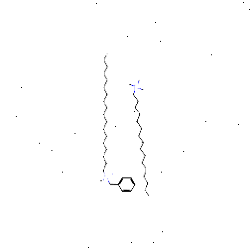 CCCCCCCCCCCCCCCCCC[N+](C)(C)Cc1ccccc1.CCCCCCCCCCCCCCCC[N+](C)(C)C